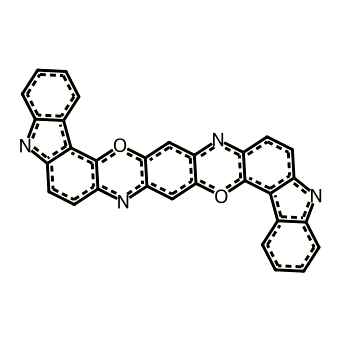 c1ccc2c(c1)nc1ccc3nc4cc5oc6c(ccc7nc8ccccc8c76)nc5cc4oc3c12